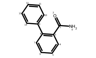 NC(=O)c1ccc[c]c1-c1ccccc1